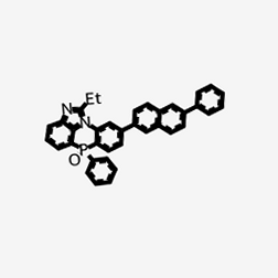 CCc1nc2cccc3c2n1-c1cc(-c2ccc4cc(-c5ccccc5)ccc4c2)ccc1P3(=O)c1ccccc1